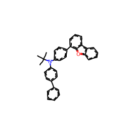 CC(C)(C)N(c1ccc(-c2ccccc2)cc1)c1ccc(-c2cccc3c2oc2ccccc23)cc1